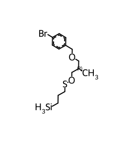 C[C@H](COCc1ccc(Br)cc1)COSCCC[SiH3]